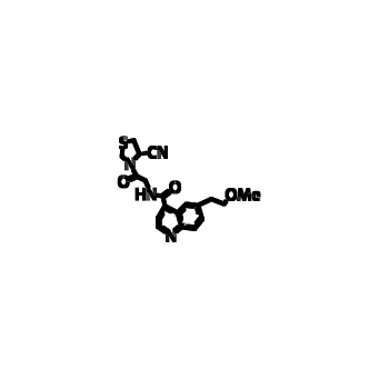 COCCc1ccc2nccc(C(=O)NCC(=O)N3CSC[C@H]3C#N)c2c1